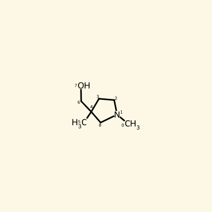 CN1CCC(C)(CO)C1